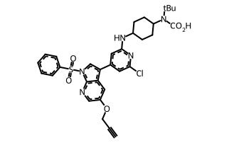 C#CCOc1cnc2c(c1)c(-c1cc(Cl)nc(NC3CCC(N(C(=O)O)C(C)(C)C)CC3)c1)cn2S(=O)(=O)c1ccccc1